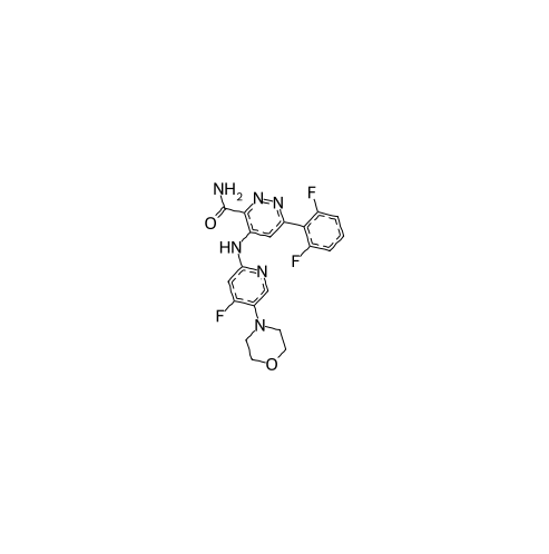 NC(=O)c1nnc(-c2c(F)cccc2F)cc1Nc1cc(F)c(N2CCOCC2)cn1